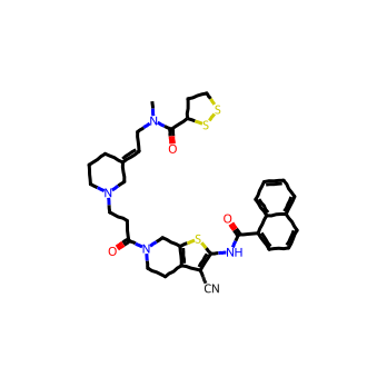 CN(C/C=C1\CCCN(CCC(=O)N2CCc3c(sc(NC(=O)c4cccc5ccccc45)c3C#N)C2)C1)C(=O)C1CCSS1